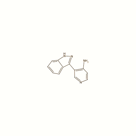 Nc1ccncc1-c1n[nH]c2ccccc12